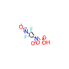 COC1CN(c2c(F)cc(N3C[C@H](C(=O)O)OC3=O)cc2F)C1